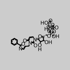 O=c1ccn([C@@H]2O[C@H](COP(=O)(O)OP(=O)(O)OP(=O)(O)O)C(O)C2O)c(=O)n1Cc1cnc(-c2ccccc2)o1